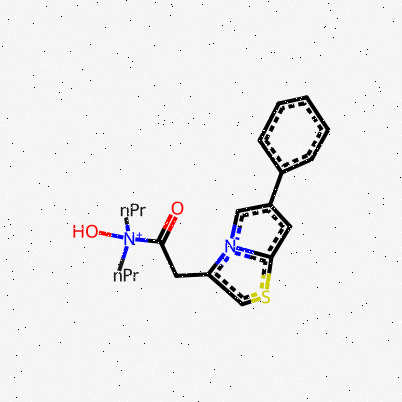 CCC[N+](O)(CCC)C(=O)Cc1csc2cc(-c3ccccc3)cn12